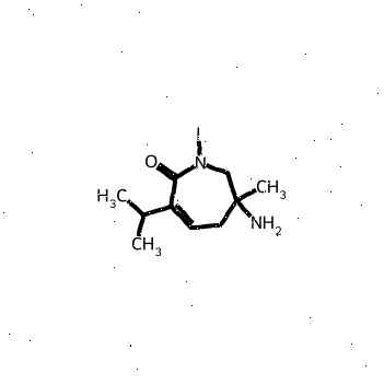 CC(C)C1=CCC(C)(N)CN(I)C1=O